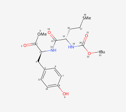 COC(=O)[C@H](Cc1ccc(O)cc1)NC(=O)[C@H](CCSC)NC(=O)OC(C)(C)C